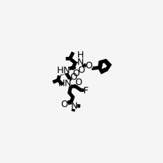 CC(C)C[C@H](NC(=O)[C@@H](NC(=O)OCc1ccccc1)C(C)C)C(=O)NC(CCC(=O)N(C)C)C(=O)CF